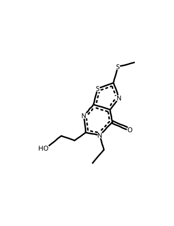 CCn1c(CCO)nc2sc(SC)nc2c1=O